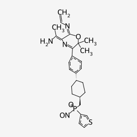 C=C/N=C1/OC(C)(C)C(c2ccc([C@H]3CC[C@H](CP(=O)(N=O)c4ccsc4)CC3)cc2)=N/C1=C(/C)N